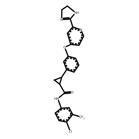 O=C(Nc1ccc(Cl)c(C(F)(F)F)c1)C1CC1c1cccc(Oc2ccnc(C3=NCCN3)c2)c1